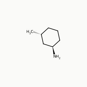 C[C@@H]1CCC[C@@H](N)C1